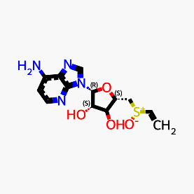 C=C[S+]([O-])C[C@H]1O[C@@H](n2cnc3c(N)ccnc32)[C@@H](O)C1O